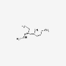 CC\C=C/C(C)=C/C(=C\NC)CC